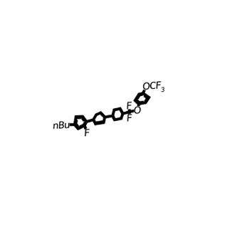 CCCCc1ccc(C2C=CC(C3CCC(C(F)(F)Oc4ccc(OC(F)(F)F)cc4)CC3)CC2)c(F)c1